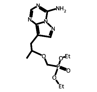 CCOP(=O)(COC(C)Cc1cnn2c(N)ncnc12)OCC